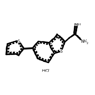 Cl.N=C(N)c1cc2cc(-c3cccs3)ccc2s1